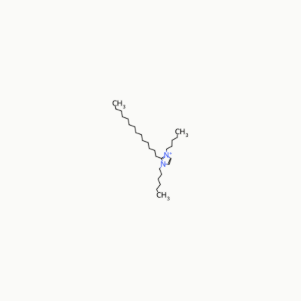 CCCCCCCCCCCCCCc1n(CCCCCC)cc[n+]1CCCCC